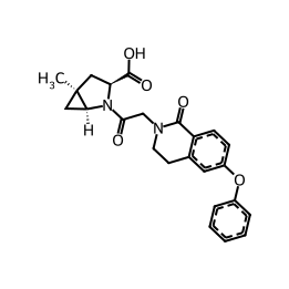 C[C@@]12C[C@@H]1N(C(=O)CN1CCc3cc(Oc4ccccc4)ccc3C1=O)[C@H](C(=O)O)C2